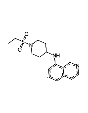 CCS(=O)(=O)N1CCC(Nc2c[c]cc3ccncc23)CC1